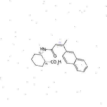 C/C(=C/C(=O)N[C@H]1CCCC[C@H]1C(=O)O)c1ccc2ccccc2c1